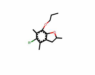 CCCOc1c(C)c(Br)c(C)c2c1OC(C)C2